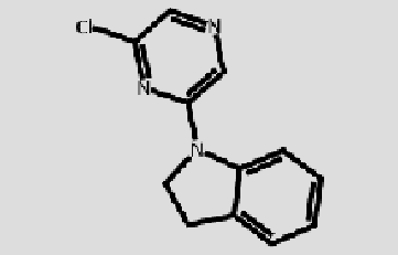 Clc1cncc(N2CCc3ccccc32)n1